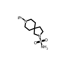 CC(C)N1CCC2(CC1)CCN(S(N)(=O)=O)C2